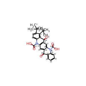 CC(C)(C)c1ccc2c(c1C(C)(C)C)c(=O)c1cc3c(cc1n2C(=O)O)c(=O)c1ccccc1n3C(=O)O